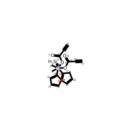 C#CC(=O)[O][Ti]([CH3])([CH3])(=[SiH2])([O]C(=O)C#C)([C]1=CC=CC1)[C]1=CC=CC1